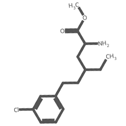 CCC(CCc1cccc(Cl)c1)CC(N)C(=O)OC